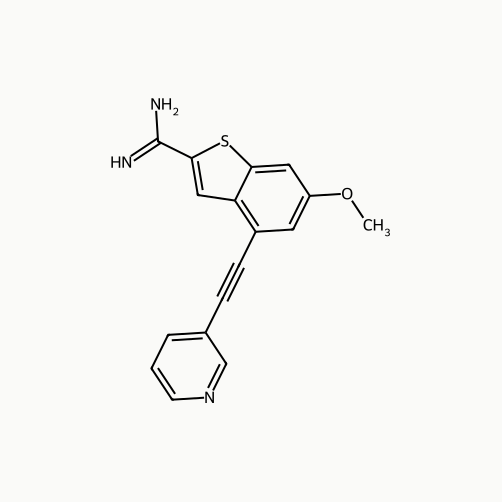 COc1cc(C#Cc2cccnc2)c2cc(C(=N)N)sc2c1